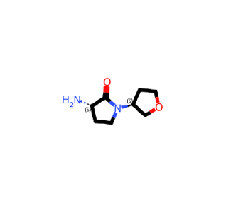 N[C@H]1CCN([C@H]2CCOC2)C1=O